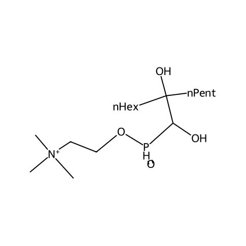 CCCCCCC(O)(CCCCC)C(O)[PH](=O)OCC[N+](C)(C)C